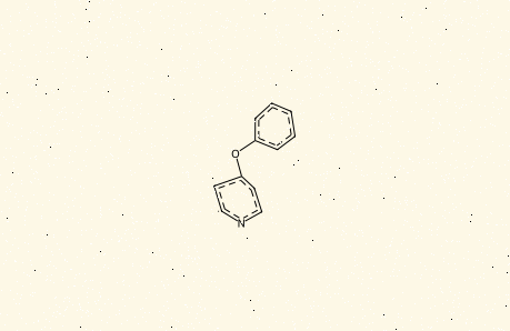 [c]1cc(Oc2ccccc2)ccn1